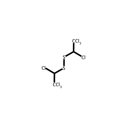 ClC(SSC(Cl)C(Cl)(Cl)Cl)C(Cl)(Cl)Cl